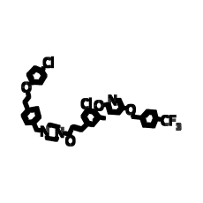 Cc1cc(C=CC(=O)N2CCN(Cc3ccc(CCOc4ccc(Cl)cc4)cc3)CC2)cc(Cl)c1Oc1ccc(OCc2ccc(C(F)(F)F)cc2)cn1